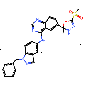 CC1(c2ccc3ncnc(Nc4ccc5c(cnn5Cc5ccccc5)c4)c3c2)NN=C(S(C)(=O)=O)O1